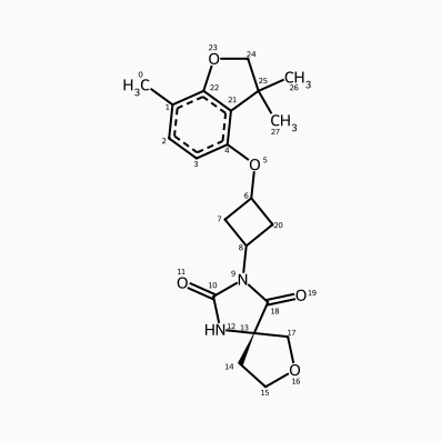 Cc1ccc(OC2CC(N3C(=O)N[C@]4(CCOC4)C3=O)C2)c2c1OCC2(C)C